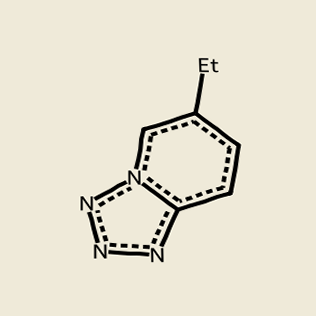 CCc1ccc2nnnn2c1